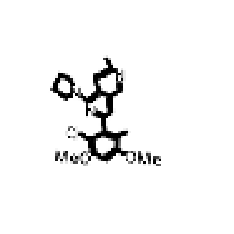 COc1cc(OC)c(Cl)c(-c2cc3cnc(C)cc3c(N3CCCC3)n2)c1C